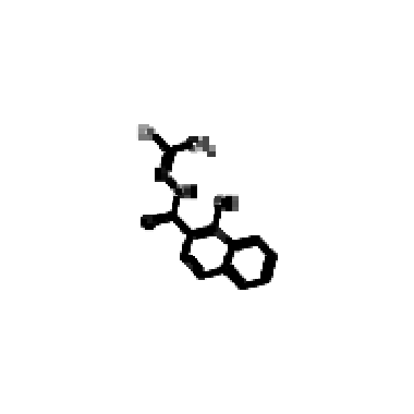 CC/C(C)=N/NC(=O)c1ccc2ccccc2c1O